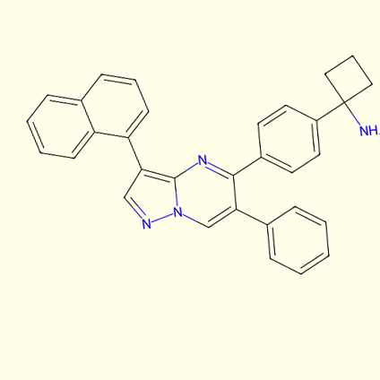 NC1(c2ccc(-c3nc4c(-c5cccc6ccccc56)cnn4cc3-c3ccccc3)cc2)CCC1